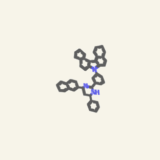 C1=C(c2ccc3ccccc3c2)N=C(c2cccc(-n3c4ccc5ccccc5c4c4c5ccccc5ccc43)c2)NC1c1ccccc1